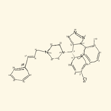 Cc1cccc(C)c1-n1nnnc1[C@H](C1C=CC(Cl)=CC1)N1CCN(C/C=C/c2ccccc2)CC1